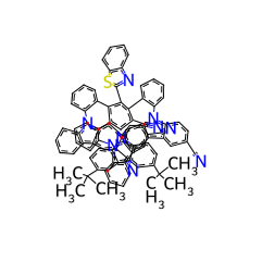 CC(C)(C)c1ccc2c(c1)c1cc(C(C)(C)C)ccc1n2-c1c(C#N)c(-c2ccccc2-n2c3ccccc3c3cc(C#N)ccc32)c(-c2nc3ccccc3s2)c(-c2ccccc2-n2c3ccccc3c3cc(C#N)ccc32)c1-c1ccccc1-n1c2ccccc2c2cc(C#N)ccc21